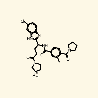 Cc1cc(C(=O)NC(CCC(=O)N2CC[C@H](O)C2)c2nc3ccc(Cl)cc3[nH]2)ccc1C(=O)N1CCCC1